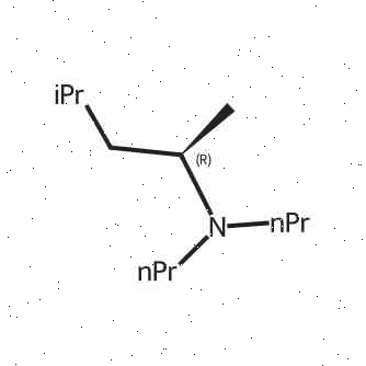 CCCN(CCC)[C@H](C)CC(C)C